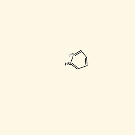 c1cc[siH][siH]c1